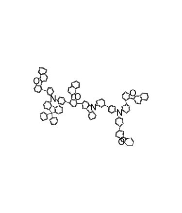 C1=Cc2c(oc3ccc(-c4ccc(N(c5ccc(-c6cccc(-n7c8ccccc8c8cc(-c9ccc(-c%10ccc(N(c%11cccc(-c%12cccc%13oc%14c%15ccccc%15ccc%14c%12%13)c%11)c%11cccc%12c%11-c%11ccccc%11C%12(c%11ccccc%11)c%11ccccc%11)cc%10)c%10c9oc9c%11ccccc%11ccc9%10)ccc87)c6)cc5)c5cccc(-c6cccc7oc8c9ccccc9ccc8c67)c5)cc4)cc23)CC1